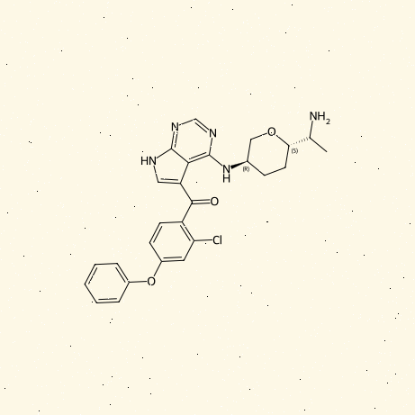 CC(N)[C@@H]1CC[C@@H](Nc2ncnc3[nH]cc(C(=O)c4ccc(Oc5ccccc5)cc4Cl)c23)CO1